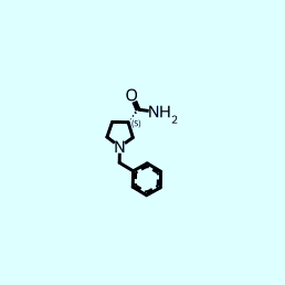 NC(=O)[C@H]1CCN(Cc2ccccc2)C1